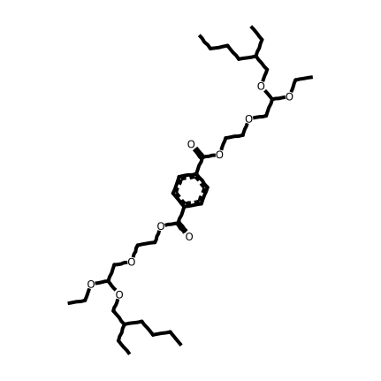 CCCCC(CC)COC(COCCOC(=O)c1ccc(C(=O)OCCOCC(OCC)OCC(CC)CCCC)cc1)OCC